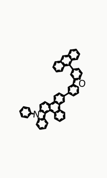 c1ccc(-n2c3ccccc3c3c4c5ccccc5c5cc(-c6ccc7oc8ccc(-c9c%10ccccc%10cc%10ccccc9%10)cc8c7c6)ccc5c4ccc32)cc1